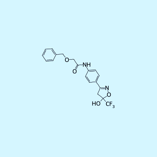 O=C(COCc1ccccc1)Nc1ccc(C2=NOC(O)(C(F)(F)F)C2)cc1